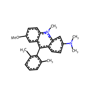 COc1ccc2c(c1)c(-c1c(C)cccc1C)c1ccc(N(C)C)cc1[n+]2C